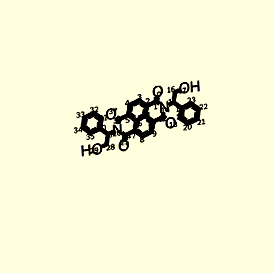 O=C1c2ccc3c4c(ccc(c24)C(=O)N1C(CO)c1ccccc1)C(=O)N(C(CO)c1ccccc1)C3=O